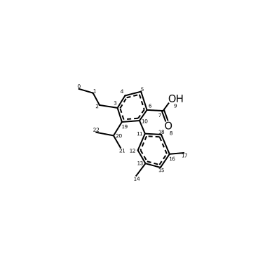 CCCc1ccc(C(=O)O)c(-c2cc(C)cc(C)c2)c1C(C)C